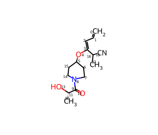 C=C/C=C(/OC1CCN(C(=O)[C@H](C)O)CC1)C(C)C#N